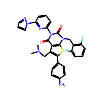 CN(C)Cc1c(-c2ccc(N)cc2)sc2c1c(=O)n(-c1cccc(-n3cccn3)n1)c(=O)n2Cc1c(F)cccc1F